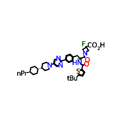 CCC[C@H]1CC[C@H](C2CCN(c3cnc(-c4ccc(C[C@H](NC(=O)c5ccc(C(C)(C)C)s5)C(=O)N5CC(F)(C(=O)O)C5)cc4)nc3)CC2)CC1